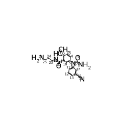 COc1ccc(N(C(N)=O)c2cccc(C#N)c2)cc1C(=O)NCCCN